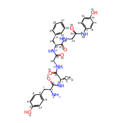 C[C@@H](NC(=O)[C@@H](N)Cc1ccc(O)cc1)C(=O)NCC(=O)N[C@@H](Cc1ccccc1)C(=O)NCC(=O)Nc1ccc(O)cc1